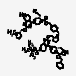 CN1CCC[C@H]1COc1nc2c(c(N3CCN(C(=O)OCc4ccc(CN5CCC[C@H]5COc5nc6c(c(N7CCN(C(=O)OCc8ccccc8)[C@@H](CC#N)C7)n5)CCN(C(=O)OC(C)(C)C)C6)cc4)[C@@H](CC#N)C3)n1)CCNC2